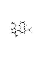 CC(C)Sc1nnc(Br)n1-c1ccc(C2CC2)c2ccccc12